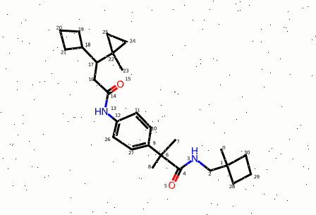 CC1(CNC(=O)C(C)(C)c2ccc(NC(=O)CC(C3CCC3)C3(C)CC3)cc2)CCC1